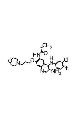 C=CC(=O)Nc1cc2c(Nc3ccc(F)c(Cl)c3)c(N)cnc2cc1OCCCN1CCOCC1